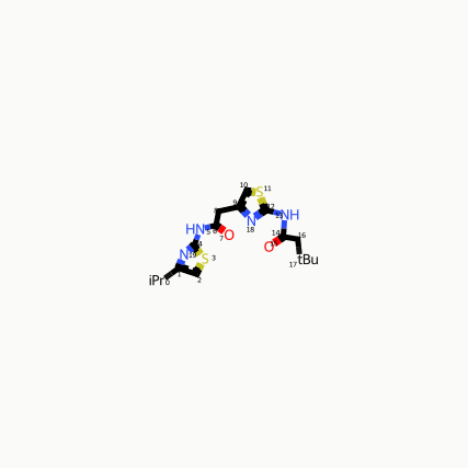 CC(C)c1csc(NC(=O)Cc2csc(NC(=O)CC(C)(C)C)n2)n1